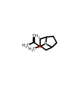 C=C(C)CN1C2CCC1CC(C)C2